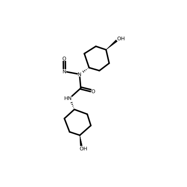 O=NN(C(=O)N[C@H]1CC[C@H](O)CC1)[C@H]1CC[C@H](O)CC1